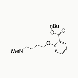 CCCCOC(=O)c1ccccc1OCCCCNC